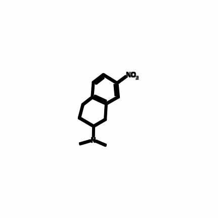 CN(C)C1CCc2ccc([N+](=O)[O-])cc2C1